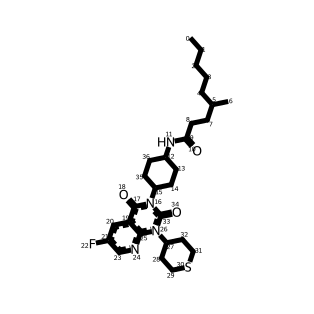 CCCCCC(C)CCC(=O)NC1CCC(n2c(=O)c3cc(F)cnc3n(C3CCSCC3)c2=O)CC1